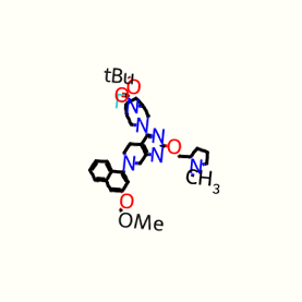 COCOc1cc(N2CCc3c(nc(OCC4CCCN4C)nc3N3CC4CC(F)C(C3)N4C(=O)OC(C)(C)C)C2)c2ccccc2c1